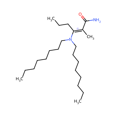 CCCCCCCCN(CCCCCCCC)/C(CCC)=C(\C)C(N)=O